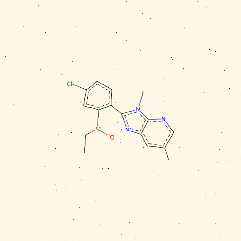 CC[S+]([O-])c1cc(Cl)ccc1-c1nc2cc(C)cnc2n1C